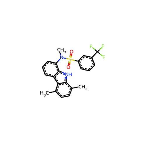 Cc1ccc(C)c2c1[nH]c1c(N(C)S(=O)(=O)c3cccc(C(F)(F)F)c3)cccc12